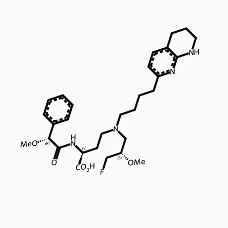 CO[C@H](CF)CN(CCCCc1ccc2c(n1)NCCC2)CC[C@H](NC(=O)[C@H](OC)c1ccccc1)C(=O)O